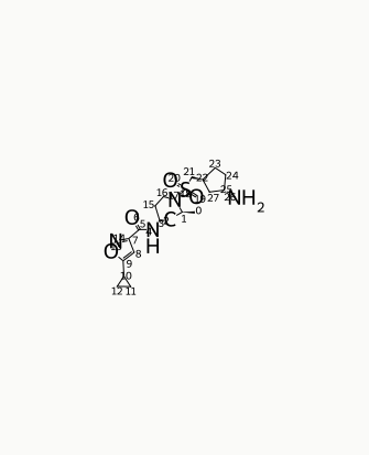 C[C@H]1C[C@@H](NC(=O)c2cc(C3CC3)on2)CCN1S(=O)(=O)C[C@H]1CC[C@H](N)C1